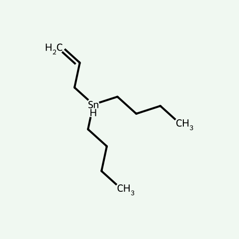 C=C[CH2][SnH]([CH2]CCC)[CH2]CCC